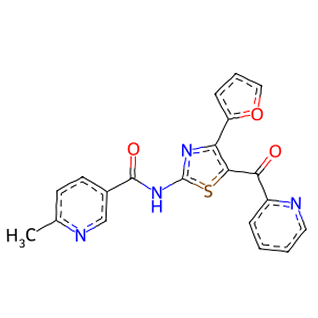 Cc1ccc(C(=O)Nc2nc(-c3ccco3)c(C(=O)c3ccccn3)s2)cn1